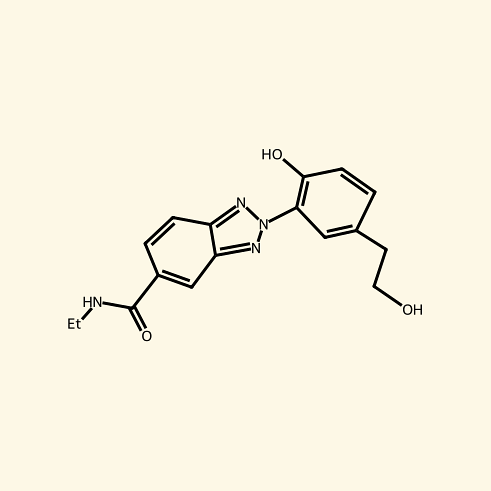 CCNC(=O)c1ccc2nn(-c3cc(CCO)ccc3O)nc2c1